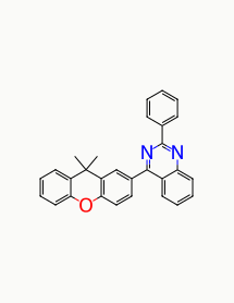 CC1(C)c2ccccc2Oc2ccc(-c3nc(-c4ccccc4)nc4ccccc34)cc21